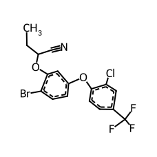 CCC(C#N)Oc1cc(Oc2ccc(C(F)(F)F)cc2Cl)ccc1Br